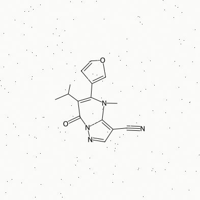 CC(C)c1c(-c2ccoc2)n(C)c2c(C#N)cnn2c1=O